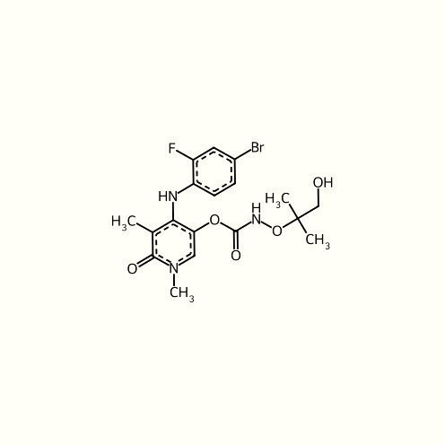 Cc1c(Nc2ccc(Br)cc2F)c(OC(=O)NOC(C)(C)CO)cn(C)c1=O